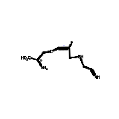 N=CCNC/C(F)=C\CC[C@H](N)C(=O)O